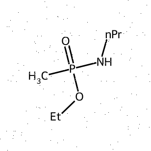 CCCNP(C)(=O)OCC